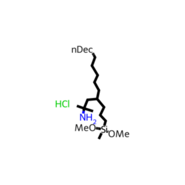 CCCCCCCCCCCCCCCC(CCC[Si](C)(OC)OC)CC(C)(C)N.Cl